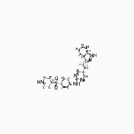 O=S(=O)(c1ccc(Nc2ncc(/C=C/c3n[nH]c4ccccc34)cn2)cc1)C1CCNCC1